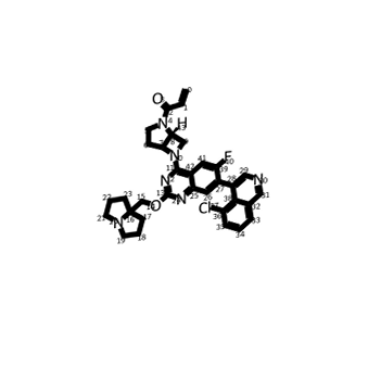 C=CC(=O)N1CCC2[C@H]1CN2c1nc(OCC23CCCN2CCC3)nc2cc(-c3cncc4cccc(Cl)c34)c(F)cc12